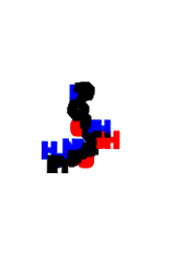 CC(C)C[C@H](N)C(=O)N[C@@H](C)C(O)CNC(=O)Cc1cccc(-c2ccccn2)c1